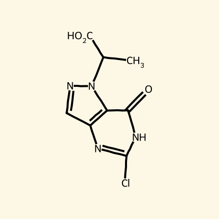 CC(C(=O)O)n1ncc2nc(Cl)[nH]c(=O)c21